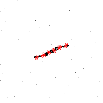 C=CC(=O)OCCCCOC(=O)OC1=CC=C(C(=O)Oc2ccc(OC(=O)c3ccc(OC(=O)OCCCCOC(=O)C=C)cc3)cc2C)CC1